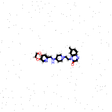 Cc1ccc2ncc(=O)n(CCN3CCC(NCc4cc5c(cn4)OCCO5)CC3)c2c1